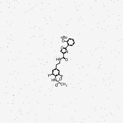 CCCCOc1ccccc1-c1nc(C(=O)NCCc2cc(F)c(NS(C)(=O)=O)c(F)c2)co1